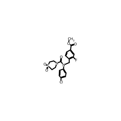 COC(=O)c1ccc(CN(C(=O)N2CCS(=O)(=O)CC2)c2ccc(Cl)cc2)c(F)c1